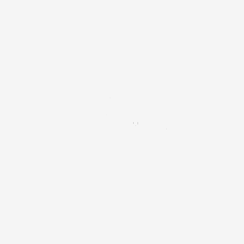 CCOCOc1ccc(C(C)(C)C)cc1C(C)(C)C